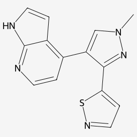 Cn1cc(-c2ccnc3[nH]ccc23)c(-c2ccns2)n1